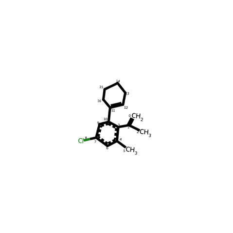 C=C(C)c1c(C)cc(Cl)cc1C1=CCCCC1